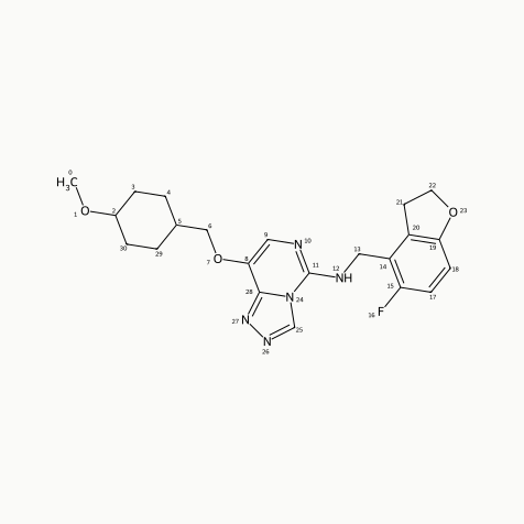 COC1CCC(COc2cnc(NCc3c(F)ccc4c3CCO4)n3cnnc23)CC1